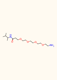 CC(C)C(C)NC(=O)CCOCCOCCOCCOCCN